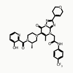 Cc1c(N2CCN(C(=O)c3ncccc3O)[C@H](C)C2)c(=O)n2nc(C3=CCOCC3)nc2n1CC(=O)Nc1ccc(C(F)(F)F)cc1